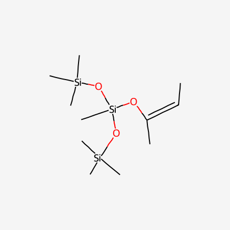 CC=C(C)O[Si](C)(O[Si](C)(C)C)O[Si](C)(C)C